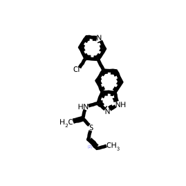 C=C(Nc1n[nH]c2ccc(-c3cnccc3Cl)cc12)S/C=C\C